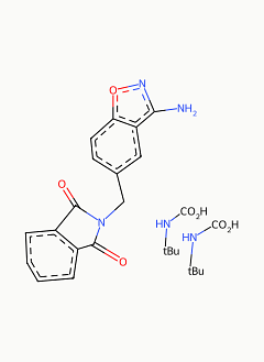 CC(C)(C)NC(=O)O.CC(C)(C)NC(=O)O.Nc1noc2ccc(CN3C(=O)c4ccccc4C3=O)cc12